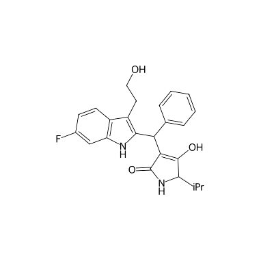 CC(C)C1NC(=O)C(C(c2ccccc2)c2[nH]c3cc(F)ccc3c2CCO)=C1O